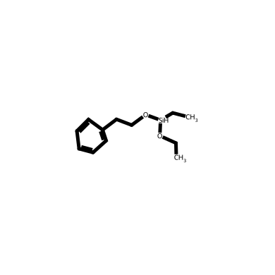 CCO[SiH](CC)OCCc1ccccc1